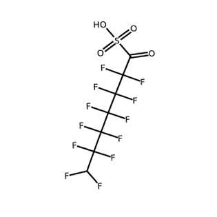 O=C(C(F)(F)C(F)(F)C(F)(F)C(F)(F)C(F)(F)C(F)F)S(=O)(=O)O